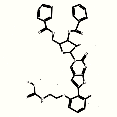 Cc1cccc(OCCNC(=O)OC(C)(C)C)c1-c1cc2cn(C3OC(COC(=O)c4ccccc4)C(OC(=O)c4ccccc4)C3C)c(=O)nc2[nH]1